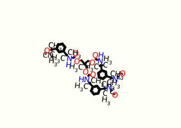 CC(COC(=O)NC(C)(C)c1cccc(C(C)(C)N=C=O)c1)(COC(=O)NC(C)(C)c1cccc(C(C)(C)N=C=O)c1)COC(=O)NC(C)(C)c1cccc(C(C)(C)OC#N)c1